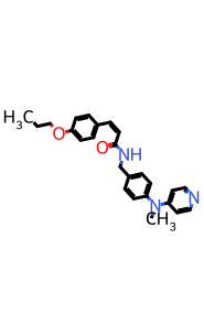 CCCOc1ccc(/C=C\C(=O)NCc2ccc(N(C)c3ccncc3)cc2)cc1